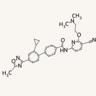 Cc1nc(-c2ccc(-c3ccc(C(=O)Nc4ccc(C#N)c(OCCN(C)C)n4)cc3)c(C3CC3)c2)no1